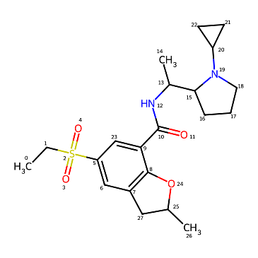 CCS(=O)(=O)c1cc2c(c(C(=O)NC(C)C3CCCN3C3CC3)c1)OC(C)C2